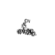 N#CCCN1CCC(n2c(Cn3cccn3)nc3cnc4c(ccn4S(=O)(=O)c4ccccc4)c32)CC1